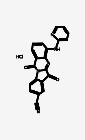 Cl.N#Cc1ccc2c(c1)C(=O)c1nc3c(Nc4ccccn4)cccc3c(=O)n1-2